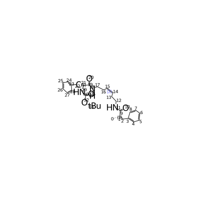 C[C@@H](Cc1ccccc1)C(=O)NCC/C=C\CCNC(=O)[C@H](Cc1ccccc1)NC(=O)OC(C)(C)C